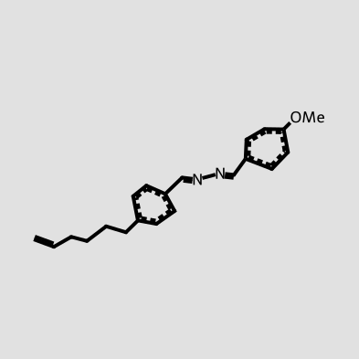 C=CCCCCc1ccc(C=NN=Cc2ccc(OC)cc2)cc1